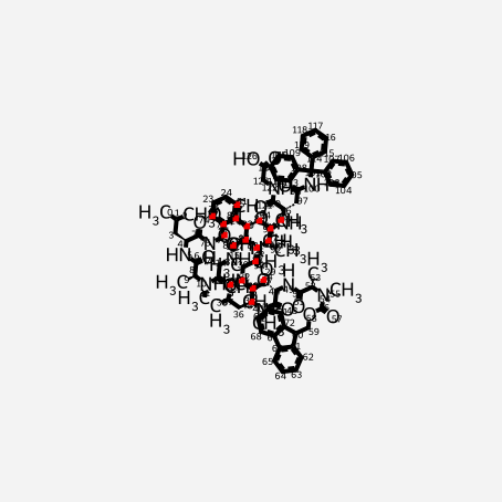 CC(C)C[C@H](NC(=O)[C@H](C)N(C)C(=O)CNC(=O)[C@H](Cc1ccccc1)N(C)C(=O)[C@H](C)NC(=O)[C@H](CC(C)C)N(C)C(=O)[C@H](CC(C)C)NC(=O)[C@H](C)N(C)C(=O)OCC1c2ccccc2-c2ccccc21)C(=O)N[C@@H](C)C(=O)N(C)[C@@H](CC(C)C)C(=O)N(C)[C@@H](C)C(=O)N[C@@H](CC(=O)NC(c1ccccc1)(c1ccccc1)c1ccccc1)C(=O)NCC(=O)O